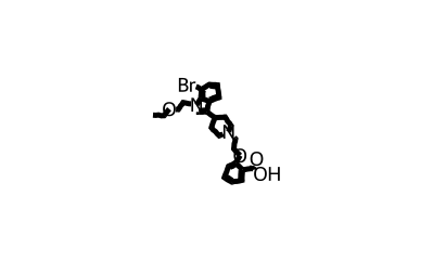 CCOCCn1cc(C2CCN(CCOc3ccccc3C(=O)O)CC2)c2cccc(Br)c21